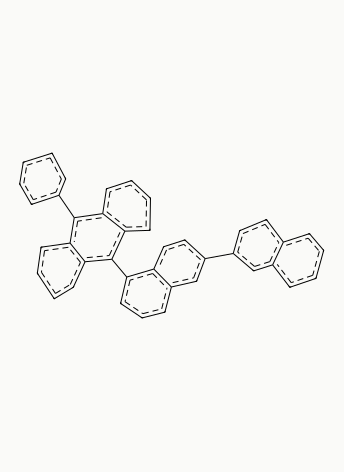 c1ccc(-c2c3ccccc3c(-c3cccc4cc(-c5ccc6ccccc6c5)ccc34)c3ccccc23)cc1